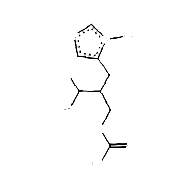 CCC(C(=O)O)C(COC(=O)C(C)(C)C)Cc1cncn1C